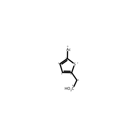 CC(=O)c1ccc(CC(=O)O)s1